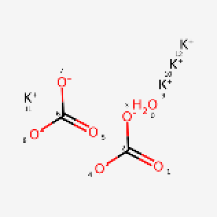 O.O=C([O-])[O-].O=C([O-])[O-].[K+].[K+].[K+].[K+]